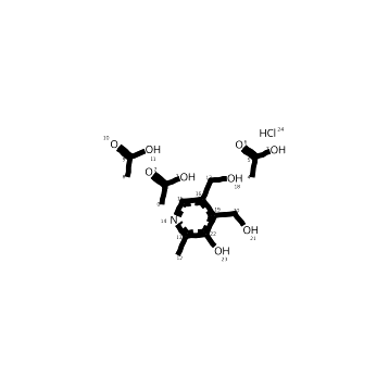 CC(=O)O.CC(=O)O.CC(=O)O.Cc1ncc(CO)c(CO)c1O.Cl